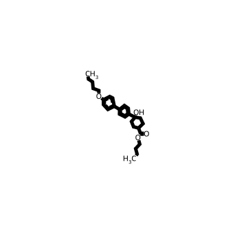 CCCCCOc1ccc(-c2ccc(C3(O)CCC(C(=O)OCCCC)CC3)cc2)cc1